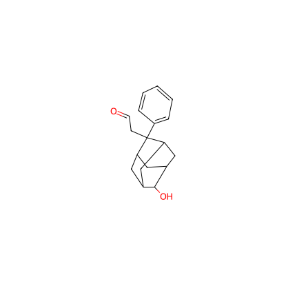 O=CCC1(c2ccccc2)C2CC3CC1CC(C2)C3O